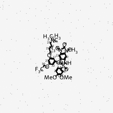 COc1ccc(S(=O)(=O)Nc2cc3c(cc2Oc2cc(OCCCCN(C)C)cc(OCC(F)(F)F)c2)n(C)c(=O)n3C)cc1OC